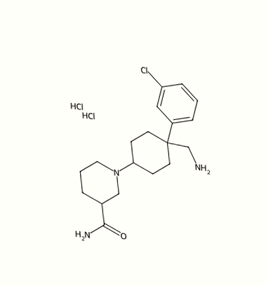 Cl.Cl.NCC1(c2cccc(Cl)c2)CCC(N2CCCC(C(N)=O)C2)CC1